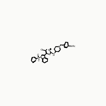 C=N/C(=N\C(=C(/C)Cl)c1cn(S(=O)(=O)c2ccccc2)c2ccccc12)NC1CCN(Cc2ccc(NC(C)=O)cc2)CC1